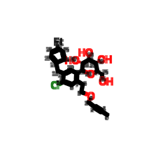 CC#CCOCCc1cc(Cl)c(Cc2ccc(CC)cc2)cc1[C@@H]1O[C@H](CO)[C@@H](O)[C@H](O)[C@H]1O